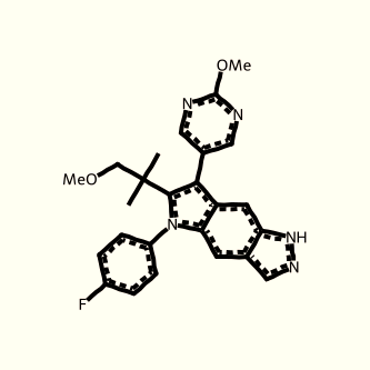 COCC(C)(C)c1c(-c2cnc(OC)nc2)c2cc3[nH]ncc3cc2n1-c1ccc(F)cc1